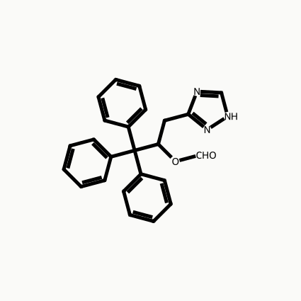 O=COC(Cc1nc[nH]n1)C(c1ccccc1)(c1ccccc1)c1ccccc1